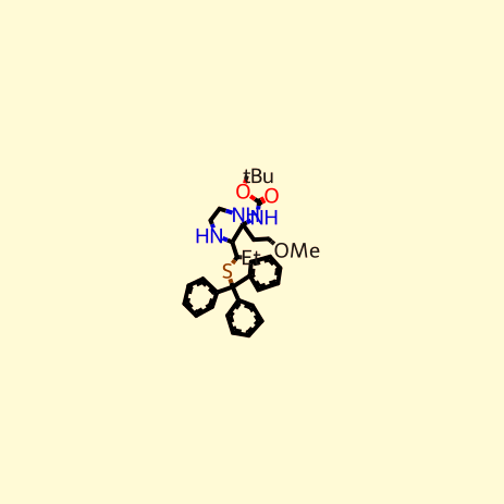 CCC(SC(c1ccccc1)(c1ccccc1)c1ccccc1)C1NCCNC1(CCOC)NC(=O)OC(C)(C)C